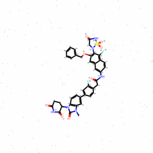 Cn1c(=O)n(C2CCC(=O)NC2=O)c2ccc(-c3ccc(CC(=O)Nc4ccc5c(F)c(N6CC(=O)NS6(=O)=O)c(OCc6ccccc6)cc5c4)c(F)c3)cc21